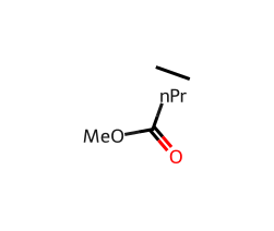 CC.CCCC(=O)OC